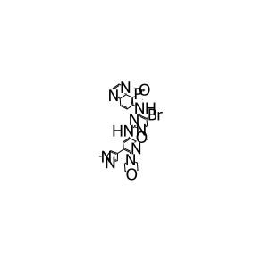 COc1nc(N2CCOCC2)c(-c2cnn(C)c2)cc1Nc1ncc(Br)c(Nc2ccc3nccnc3c2P(C)(C)=O)n1